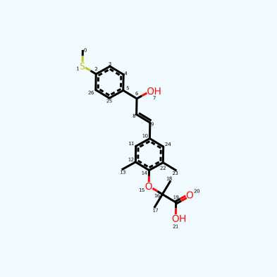 CSc1ccc(C(O)C=Cc2cc(C)c(OC(C)(C)C(=O)O)c(C)c2)cc1